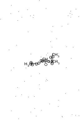 CCOC(=O)CCN(C)C(=O)c1ccc(NC(c2cc(-c3ccc(OCCCS(C)(=O)=O)cc3)oc2C)C2CCCCC2)cc1